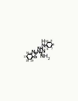 Nc1nc(Nc2ccccc2)nn1-c1nc2ccccc2s1